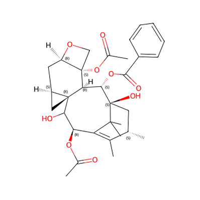 CC(=O)O[C@@H]1C2=C(C)[C@@H](C)C[C@@](O)([C@@H](OC(=O)c3ccccc3)[C@@H]3[C@]4(OC(C)=O)CO[C@@H]4C[C@@H]4C[C@@]43C1O)C2(C)C